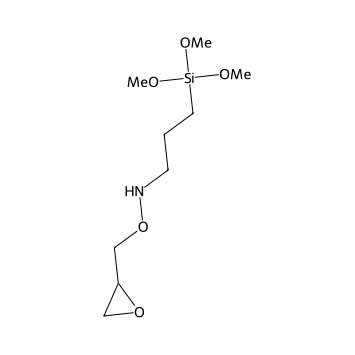 CO[Si](CCCNOCC1CO1)(OC)OC